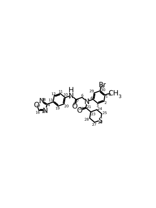 Cc1ccc(N(CC(=O)Nc2ccc(-c3ncon3)cc2)C(=O)C2CCSCC2)cc1Br